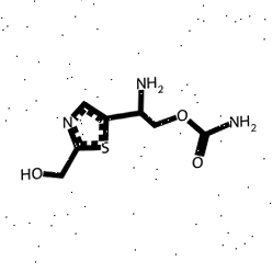 NC(=O)OCC(N)c1cnc(CO)s1